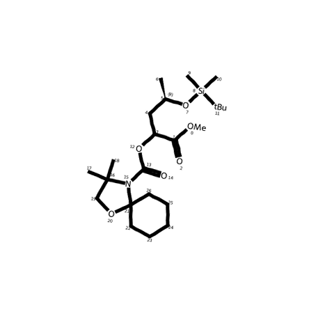 COC(=O)C(C[C@@H](C)O[Si](C)(C)C(C)(C)C)OC(=O)N1C(C)(C)COC12CCCCC2